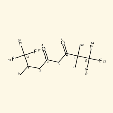 CC(CC(=O)CC(=O)C(C)(C)C(F)(F)F)C(F)(F)F